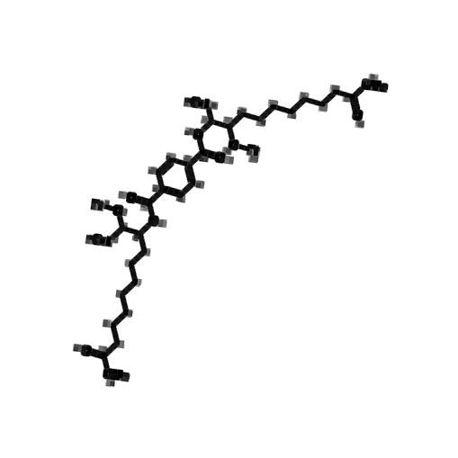 CCCCCCCCC(OCC)C(CCCCCCCC(=O)OC)OC(=O)c1ccc(C(=O)OC(CCCCCCCC)C(CCCCCCCC(=O)OC)OCC)cc1